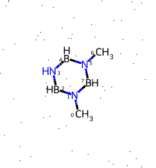 CN1BNBN(C)B1